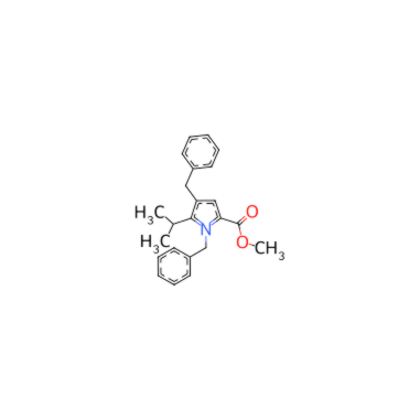 COC(=O)c1cc(Cc2ccccc2)c(C(C)C)n1Cc1ccccc1